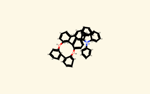 c1ccc(-c2ccc3c(c2)-c2c(cccc2-c2ccc4c5ccccc5n(-c5ccccc5)c4c2)Oc2ccccc2-c2ccccc2O3)cc1